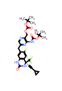 CC(C)(C)OC(=O)Nc1nc(Cc2cc3c(cc2F)[C@@](C#CC2CC2)(C(F)(F)F)NC(=O)N3)cnc1COC(=O)OC(C)(C)C